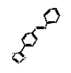 c1ccc(/N=N/c2ccc(-c3nnn[nH]3)cc2)cc1